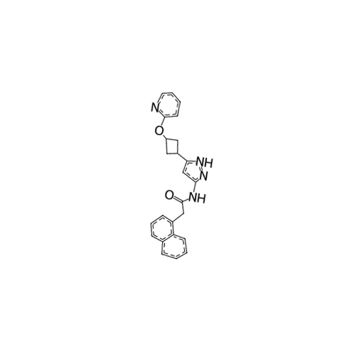 O=C(Cc1cccc2ccccc12)Nc1cc(C2CC(Oc3ccccn3)C2)[nH]n1